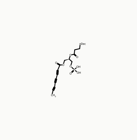 CC#CC#CC#CC(=O)OC[C@H](COP(=O)(O)O)OC(=O)CCCCCCCCCCCC